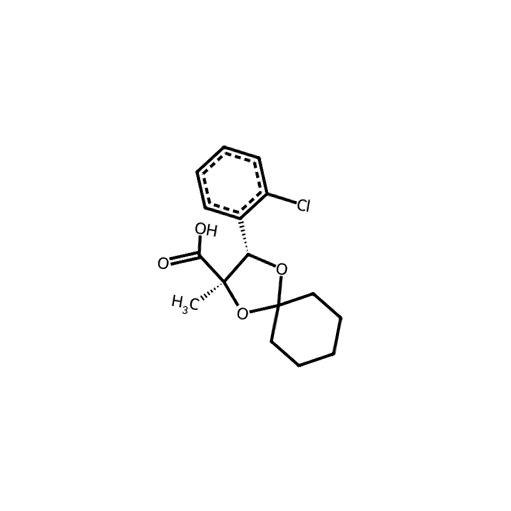 C[C@@]1(C(=O)O)OC2(CCCCC2)O[C@H]1c1ccccc1Cl